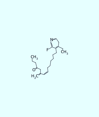 C=C(/C=C\CCCCCCC1=C(CC)CC=NC=C1F)CC(=O)CCC